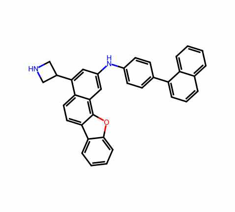 c1ccc2c(-c3ccc(Nc4cc(C5CNC5)c5ccc6c7ccccc7oc6c5c4)cc3)cccc2c1